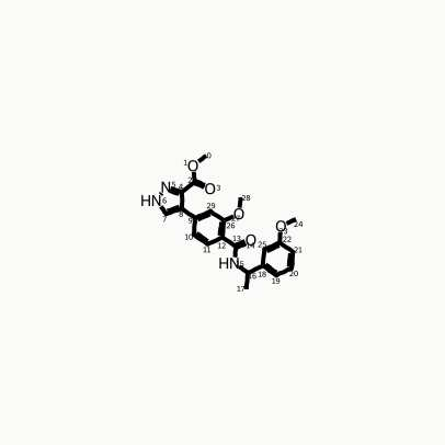 COC(=O)c1n[nH]cc1-c1ccc(C(=O)NC(C)c2cccc(OC)c2)c(OC)c1